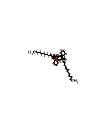 CCCCCCCCCCCCP1(=O)OC23C(O)C4(O)C5(CCCCC5)C4(O1)C1(O)C2(OP1(=O)CCCCCCCCCCCC)C31CCCCC1